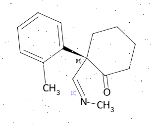 C/N=C\[C@]1(c2ccccc2C)CCCCC1=O